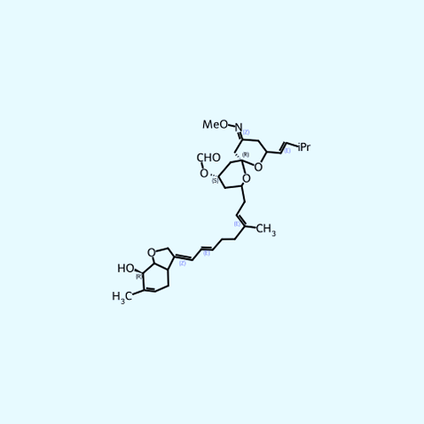 CO/N=C1/CC(/C=C/C(C)C)O[C@]2(C1)C[C@@H](OC=O)CC(C/C=C(\C)CC/C=C/C=C1\COC3C1CC=C(C)[C@H]3O)O2